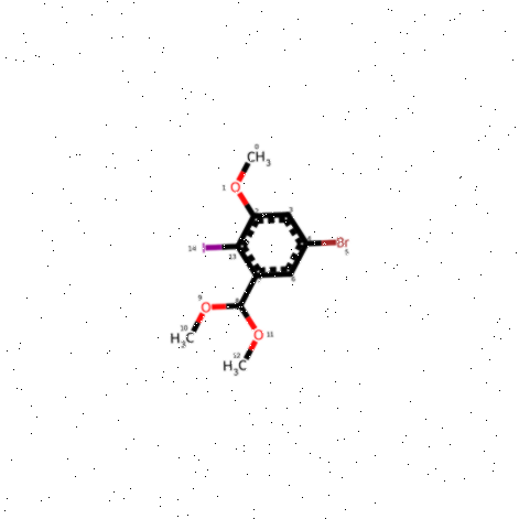 COc1cc(Br)cc(C(OC)OC)c1I